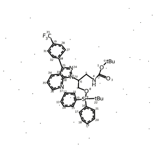 CC(C)(C)OC(=O)NCC(CO[Si](c1ccccc1)(c1ccccc1)C(C)(C)C)n1nc(-c2ccc(C(F)(F)F)cc2)c2cccnc21